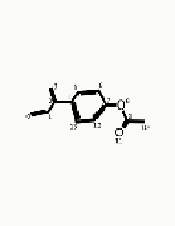 C=CC(=C)c1ccc(OC(C)=O)cc1